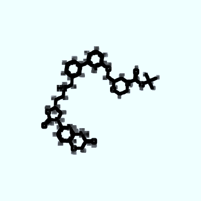 CC(C)(C)OC(=O)N1CCOC(COc2cccc(-c3cccc(CNCC[C@H]4CN(c5ccc6c(n5)NC(=O)CO6)C(=O)O4)c3)n2)C1